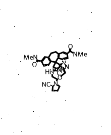 CNC(=O)c1ccc2c(c1)CCc1cc(C(=O)NC)ccc1C2(CC1(NCC(=O)N2CCC[C@H]2C#N)CCCCC1)c1nnn[nH]1